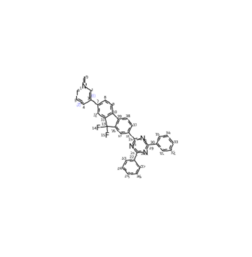 C=N/C=C(\C=C/C)c1ccc2c(c1)C(F)(F)c1cc(-c3nc(-c4ccccc4)nc(-c4ccccc4)n3)ccc1-2